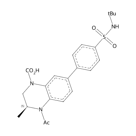 CC(=O)N1c2ccc(-c3ccc(S(=O)(=O)NC(C)(C)C)cc3)cc2N(C(=O)O)C[C@@H]1C